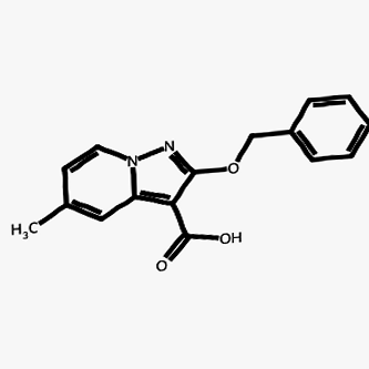 Cc1ccn2nc(OCc3ccccc3)c(C(=O)O)c2c1